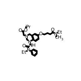 CCN(C)C(=O)CCCOc1ccc2c(c1)CN(CC(=O)OC(C)C)CN2NC(=O)N(CC)c1ccccc1